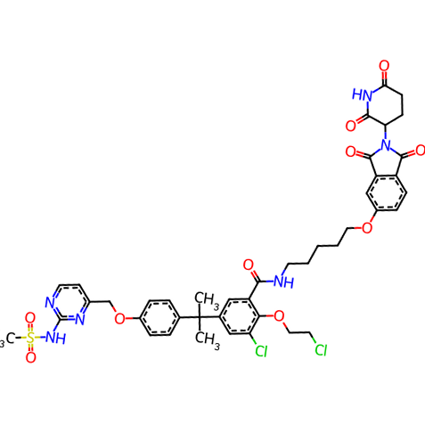 CC(C)(c1ccc(OCc2ccnc(NS(C)(=O)=O)n2)cc1)c1cc(Cl)c(OCCCl)c(C(=O)NCCCCCOc2ccc3c(c2)C(=O)N(C2CCC(=O)NC2=O)C3=O)c1